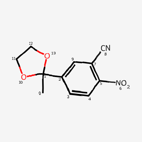 CC1(c2ccc([N+](=O)[O-])c(C#N)c2)OCCO1